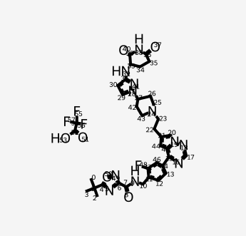 CC(C)(C)c1nc(C(=O)NCc2ccc(-c3ncnn4cc(CCN5CCC(n6ccc(NC7CCC(=O)NC7=O)n6)CC5)cc34)cc2F)no1.O=C(O)C(F)(F)F